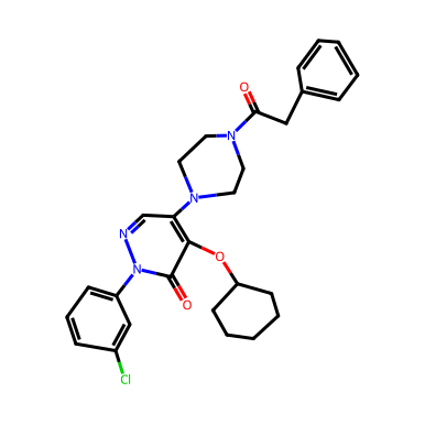 O=C(Cc1ccccc1)N1CCN(c2cnn(-c3cccc(Cl)c3)c(=O)c2OC2CCCCC2)CC1